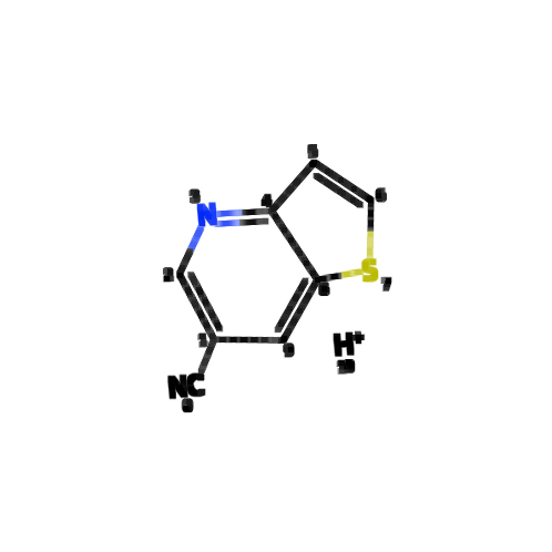 N#Cc1cnc2ccsc2c1.[H+]